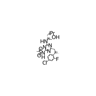 CC(C)C[C@H](CO)Nc1nc(C[C@H](C)c2ccc(Cl)cc2F)nc(NS(C)(=O)=O)n1